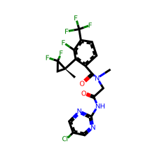 CN(CC(=O)Nc1ncc(Cl)cn1)C(=O)c1ccc(C(F)(F)F)c(F)c1[C@]1(C)CC1(F)F